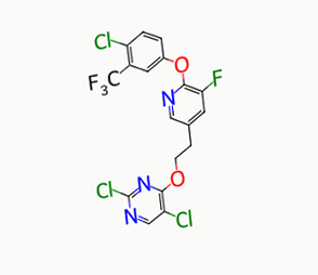 Fc1cc(CCOc2nc(Cl)ncc2Cl)cnc1Oc1ccc(Cl)c(C(F)(F)F)c1